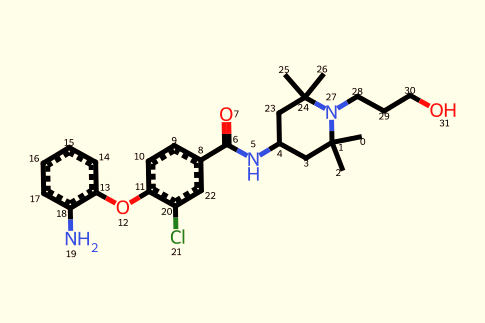 CC1(C)CC(NC(=O)c2ccc(Oc3ccccc3N)c(Cl)c2)CC(C)(C)N1CCCO